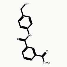 COC(=O)c1cccc(C(=O)Nc2ccc(CC(C)C)cc2)c1